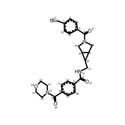 CC(C)(C)c1ccc(C(=O)N2CC3C(CNC(=O)c4ccc(C(=O)N5CCOCC5)cc4)C3C2)cc1